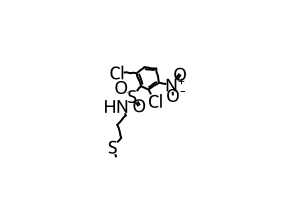 CSCCCNS(=O)(=O)c1c(Cl)ccc([N+](=O)[O-])c1Cl